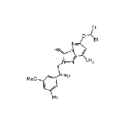 CCC(CC)Oc1cc(C)c2nn(CC(=O)c3cc(OC)cc(C(C)(C)C)c3)c(=N)n2n1